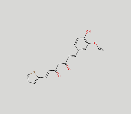 COc1cc(/C=C/C(=O)CC(=O)/C=C/c2cccs2)ccc1O